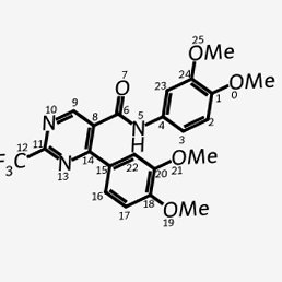 COc1ccc(NC(=O)c2cnc(C(F)(F)F)nc2-c2ccc(OC)c(OC)c2)cc1OC